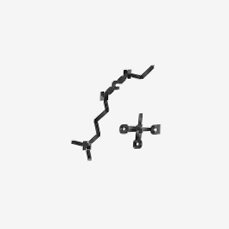 CCN=C=NCCCN(C)C.CS(=O)(=O)Cl